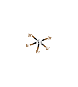 [Br][Na]([Br])([Br])([Br])[Br]